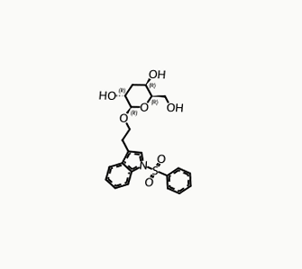 O=S(=O)(c1ccccc1)n1cc(CCO[C@@H]2O[C@H](CO)[C@H](O)C[C@H]2O)c2ccccc21